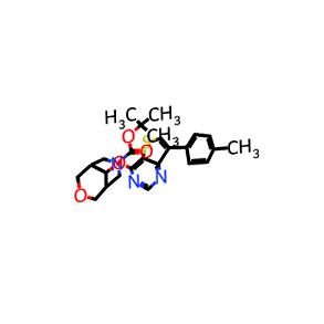 Cc1ccc(-c2csc3c(OC4C5COCC4CN(C(=O)OC(C)(C)C)C5)ncnc23)cc1